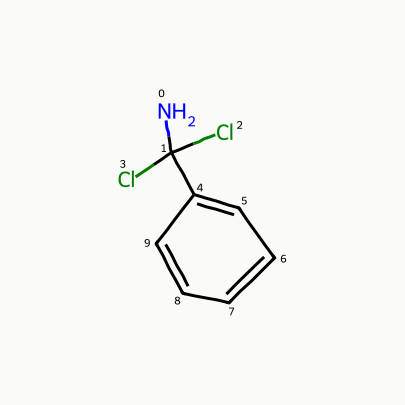 NC(Cl)(Cl)c1ccccc1